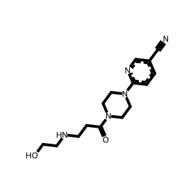 N#Cc1ccc(N2CCN(C(=O)CCNCCO)CC2)nc1